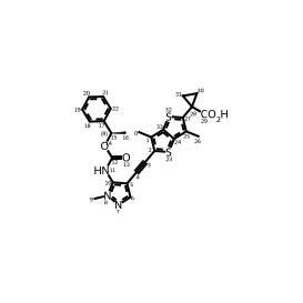 Cc1c(C#Cc2cnn(C)c2NC(=O)O[C@H](C)c2ccccc2)sc2c(C)c(C3(C(=O)O)CC3)sc12